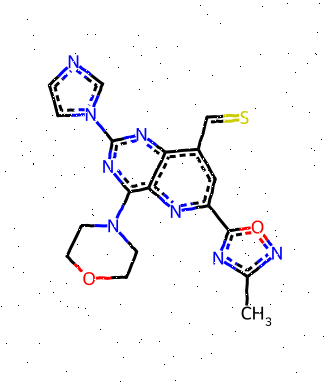 Cc1noc(-c2cc(C=S)c3nc(-n4ccnc4)nc(N4CCOCC4)c3n2)n1